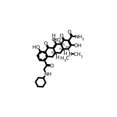 CN(C)[C@H]1C(O)=C(C(N)=O)C(=O)[C@@]2(O)C(O)=C3C(=O)c4c(O)ccc(C(=O)CNC5CCCCC5)c4C[C@H]3C[C@@H]12